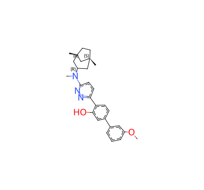 COc1cccc(-c2ccc(-c3ccc(N(C)[C@H]4C[C@]5(C)CC[C@](C)(C4)C5)nn3)c(O)c2)c1